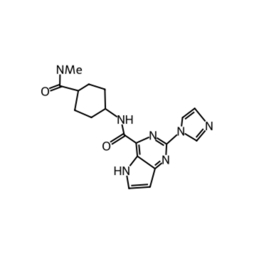 CNC(=O)C1CCC(NC(=O)c2nc(-n3ccnc3)nc3cc[nH]c23)CC1